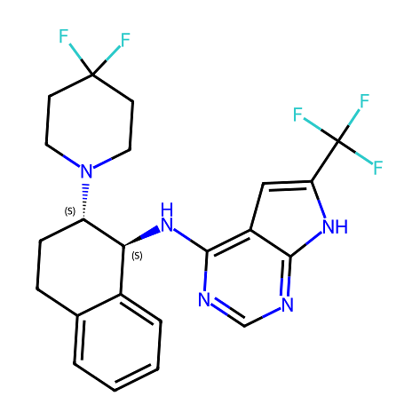 FC1(F)CCN([C@H]2CCc3ccccc3[C@@H]2Nc2ncnc3[nH]c(C(F)(F)F)cc23)CC1